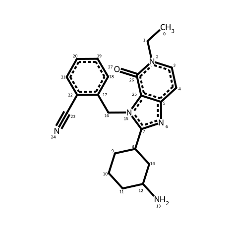 CCn1ccc2nc(C3CCCC(N)C3)n(Cc3ccccc3C#N)c2c1=O